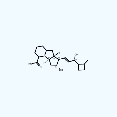 CC1CCC1[C@@H](O)/C=C/[C@@H]1[C@H]2CC3CCCC(C(=O)O)N3[C@@H]2C[C@H]1O